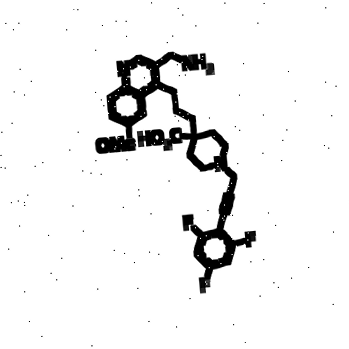 COc1ccc2ncc(CN)c(CCCC3(C(=O)O)CCN(CC#Cc4c(F)cc(F)cc4F)CC3)c2c1